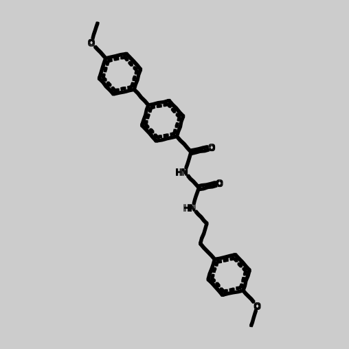 COc1ccc(CCNC(=O)NC(=O)c2ccc(-c3ccc(OC)cc3)cc2)cc1